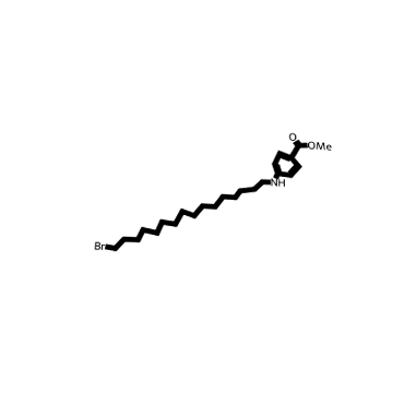 COC(=O)c1ccc(NCCCCCCCCCCCCCCCCBr)cc1